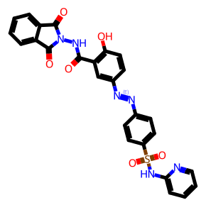 O=C(NN1C(=O)c2ccccc2C1=O)c1cc(/N=N/c2ccc(S(=O)(=O)Nc3ccccn3)cc2)ccc1O